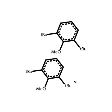 COc1c(C(C)(C)C)cccc1C(C)(C)C.COc1c(C(C)(C)C)cccc1C(C)(C)C.[P]